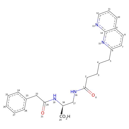 O=C(CCCCc1ccc2cccnc2n1)NC[C@H](NC(=O)Cc1ccccc1)C(=O)O